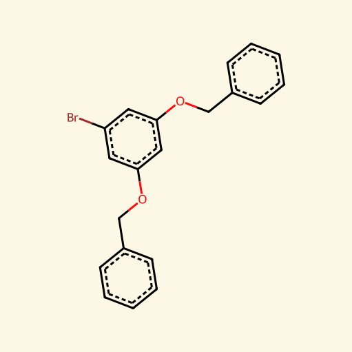 Brc1cc(OCc2ccccc2)cc(OCc2ccccc2)c1